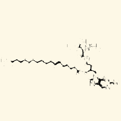 CCCCCCCCCCCC=CCCCCC(=O)OCC(CCOC(=O)[C@@H](N)C(C)C)Cn1cnc2cnc(N)nc21